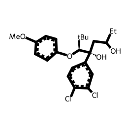 [CH2]CC(O)C[C@@](O)(c1ccc(Cl)c(Cl)c1)[C@@H](Oc1ccc(OC)cc1)C(C)(C)C